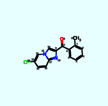 Cc1ccccc1C(=O)c1cn2cc(Cl)ccc2n1